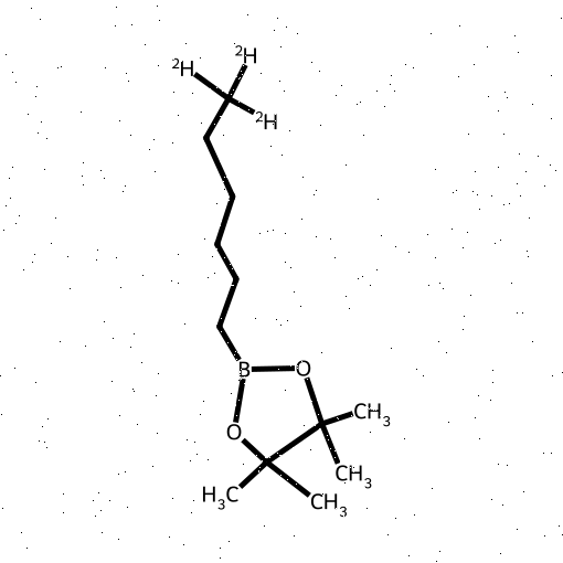 [2H]C([2H])([2H])CCCCCB1OC(C)(C)C(C)(C)O1